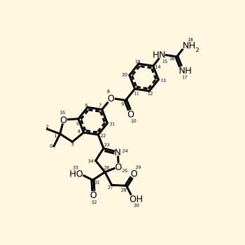 CC1(C)Cc2c(cc(OC(=O)c3ccc(NC(=N)N)cc3)cc2C2=NOC(CC(=O)O)(C(=O)O)C2)O1